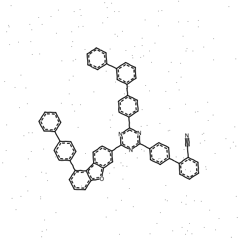 N#Cc1ccccc1-c1ccc(-c2nc(-c3ccc(-c4cccc(-c5ccccc5)c4)cc3)nc(-c3ccc4c(c3)oc3cccc(-c5ccc(-c6ccccc6)cc5)c34)n2)cc1